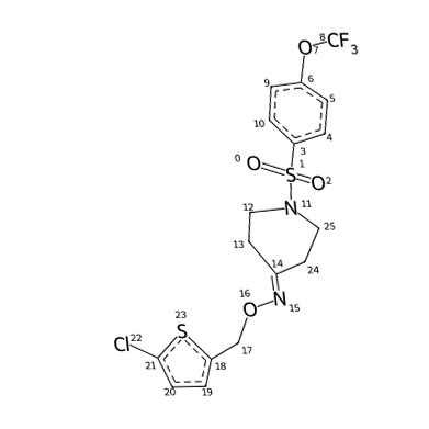 O=S(=O)(c1ccc(OC(F)(F)F)cc1)N1CCC(=NOCc2ccc(Cl)s2)CC1